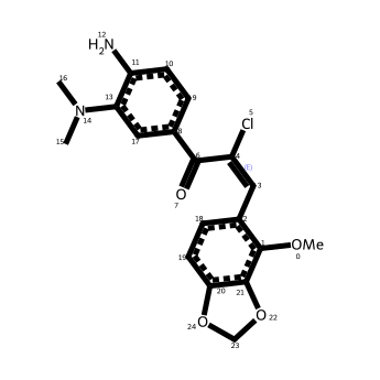 COc1c(/C=C(/Cl)C(=O)c2ccc(N)c(N(C)C)c2)ccc2c1OCO2